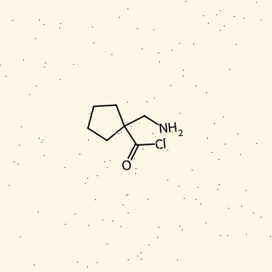 NCC1(C(=O)Cl)CCCC1